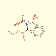 CCOC(=O)C1c2ccccc2C(O)N1C(C)=O